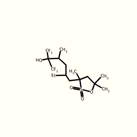 CCC(CC(C)C(O)(C(F)(F)F)C(F)(F)F)CC1(C)CC(C)(C)OS1(=O)=O